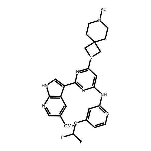 COc1cnc2[nH]cc(-c3nc(Nc4cc(OC(F)F)ccn4)cc(N4CC5(CCN(C(C)=O)CC5)C4)n3)c2c1